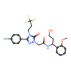 COc1ccccc1C(CCO)NC(=O)Cn1nc(-c2ccc(Cl)cc2)n(CCC(F)(F)F)c1=O